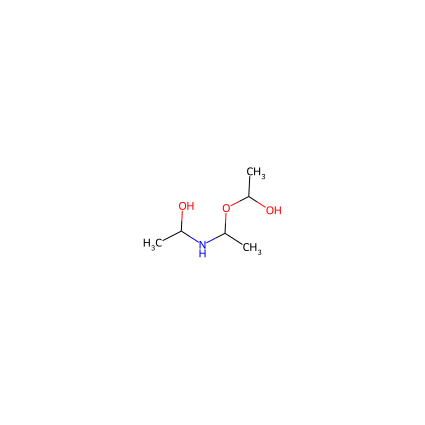 CC(O)NC(C)OC(C)O